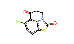 O=C1CCn2c(=O)sc3ccc(F)c1c32